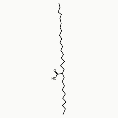 CCCCCCCCCCCCCCCCCCC(CCCCCCCCCC)C(=O)O